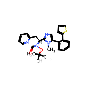 Cn1c(-c2ccccc2-c2cccs2)cnc1[C@H](Cc1ccccn1)N(C=O)OC(C)(C)C